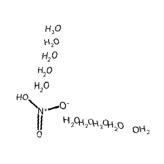 O.O.O.O.O.O.O.O.O.O.O=[N+]([O-])O